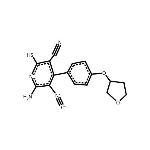 [C-]#[N+]c1c(N)nc(S)c(C#N)c1-c1ccc(OC2CCOC2)cc1